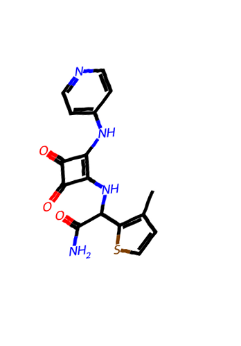 Cc1ccsc1C(Nc1c(Nc2ccncc2)c(=O)c1=O)C(N)=O